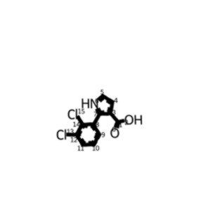 O=C(O)c1cc[nH]c1-c1cccc(Cl)c1Cl